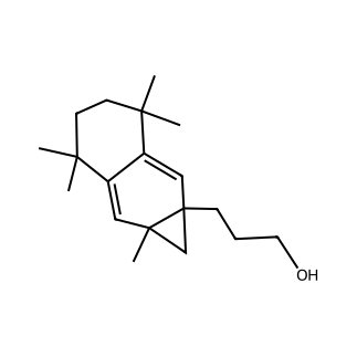 CC1(C)CCC(C)(C)C2=CC3(CCCO)CC3(C)C=C21